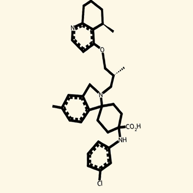 Cc1ccc2c(c1)CN(C[C@@H](C)COc1ccnc3c1[C@H](C)CCC3)C21CCC(Nc2cccc(Cl)c2)(C(=O)O)CC1